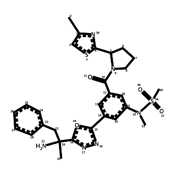 Cc1csc(C2CCCN2C(=O)c2cc(-c3nnc(C(C)(N)Cc4ccccc4)o3)cc(N(C)S(C)(=O)=O)c2)n1